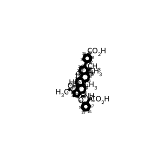 C=C(C)[C@@H]1CC[C@]2(C(=O)N[C@H](C(=O)O)c3ccccc3)CC[C@]3(C)[C@H](CC[C@@H]4[C@@]5(C)CC=C(c6ccc(C(=O)O)cc6)C(C)(C)[C@@H]5CC[C@]43C)[C@@H]12